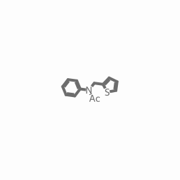 CC(=O)N(Cc1cccs1)c1ccccc1